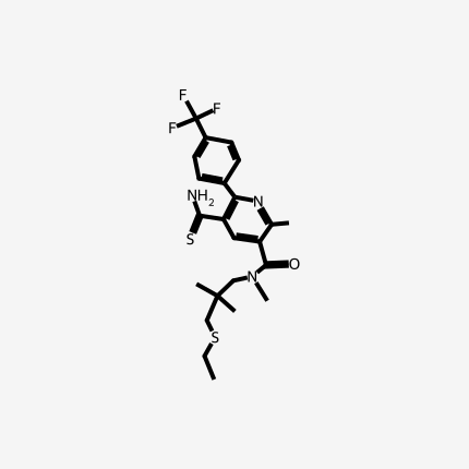 CCSCC(C)(C)CN(C)C(=O)c1cc(C(N)=S)c(-c2ccc(C(F)(F)F)cc2)nc1C